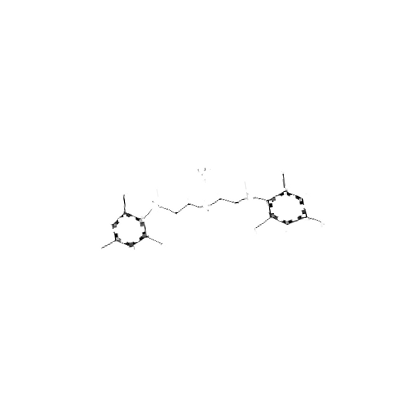 Cc1cc(C)c(NCCNCCNc2c(C)cc(C)cc2C)c(C)c1.[Mn]